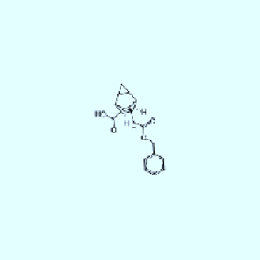 O=C(N[C@@H]1C2C=CC(C3CC32)[C@@H]1C(=O)O)OCc1ccccc1